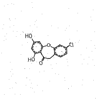 O=C1Cc2ccc(Cl)cc2Oc2cc(O)cc(O)c21